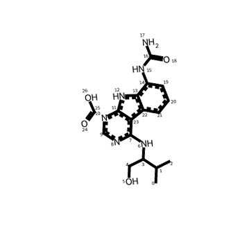 CC(C)C(CO)Nc1ncnc2[nH]c3c(NC(N)=O)cccc3c12.O=CO